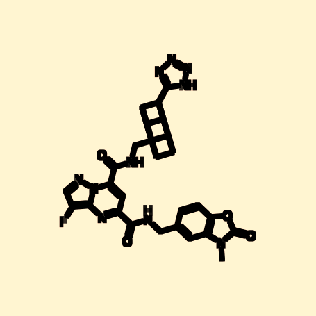 Cn1c(=O)oc2ccc(CNC(=O)c3cc(C(=O)NCC45C6C7C4C4C5C6C74c4nnn[nH]4)n4ncc(F)c4n3)cc21